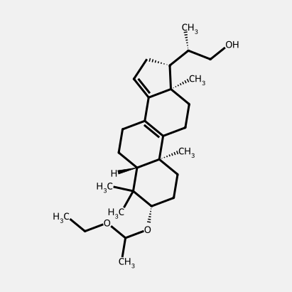 CCOC(C)O[C@H]1CC[C@]2(C)C3=C(CC[C@H]2C1(C)C)C1=CC[C@H]([C@H](C)CO)[C@@]1(C)CC3